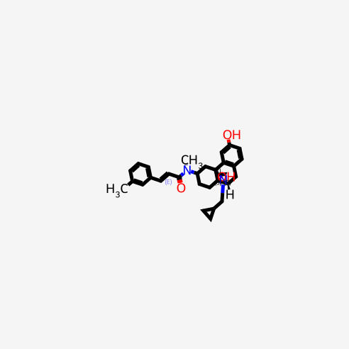 Cc1cccc(/C=C/C(=O)N(C)C2CC[C@@]3(O)[C@H]4Cc5ccc(O)cc5[C@@]3(CCN4CC3CC3)C2)c1